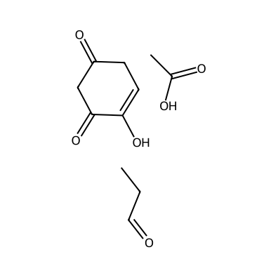 CC(=O)O.CCC=O.O=C1CC=C(O)C(=O)C1